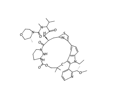 CCn1c(-c2cccnc2[C@H](C)OC)c2c3cc(ccc31)-c1csc(n1)C[C@H](NC(=O)C(C(C)C)N(C)C(=O)N1CCOC[C@H]1C)C(=O)N1CCC[C@H](N1)C(=O)OCC(C)(C)C2